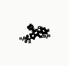 CCOC(=O)CC1=C2C[C@H](NS(C)(=O)=O)CN2C(c2nncs2)=NC1c1ccc(F)cc1Cl